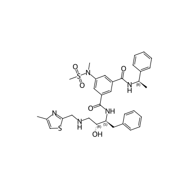 Cc1csc(CNC[C@@H](O)[C@H](Cc2ccccc2)NC(=O)c2cc(C(=O)N[C@H](C)c3ccccc3)cc(N(C)S(C)(=O)=O)c2)n1